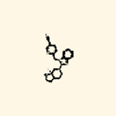 N#Cc1ccc(Cn2c(N3CCC4CCN[C@@H]4C3)nc3ccccc32)nc1